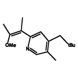 CO/C(C)=C(/C)c1cc(CC(C)(C)C)c(C)cn1